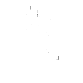 O=C1NC(CO)C(=O)N1c1ccc(OCc2c(Cl)cccc2Cl)cn1